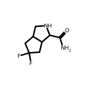 NC(=O)C1NCC2CC(F)(F)CC21